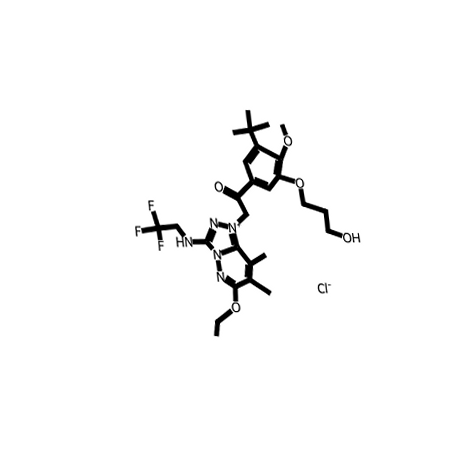 CCOc1nn2c(NCC(F)(F)F)n[n+](CC(=O)c3cc(OCCCO)c(OC)c(C(C)(C)C)c3)c2c(C)c1C.[Cl-]